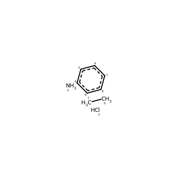 CC.Cl.N.c1ccccc1